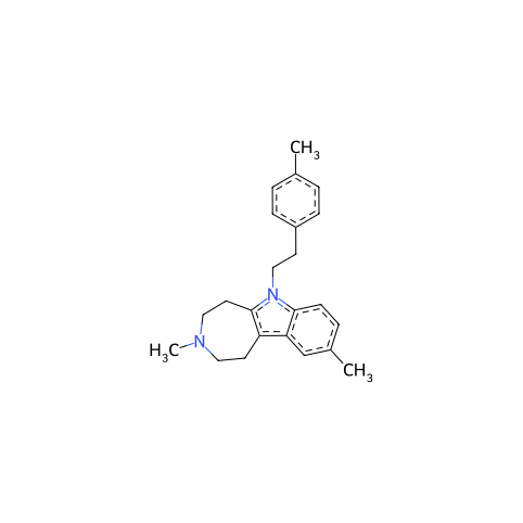 Cc1ccc(CCn2c3c(c4cc(C)ccc42)CCN(C)CC3)cc1